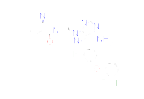 CC(C)(C)C=C(C#N)C(=O)N1CCC[C@H](n2nc(-c3ccc(Oc4cccc(F)c4F)cc3F)c3c(N)ncnc32)C1